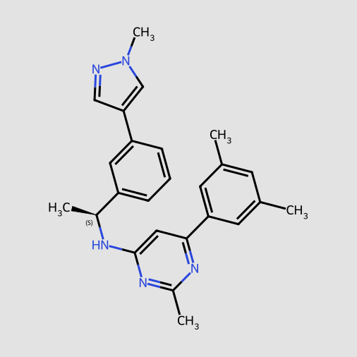 Cc1cc(C)cc(-c2cc(N[C@@H](C)c3cccc(-c4cnn(C)c4)c3)nc(C)n2)c1